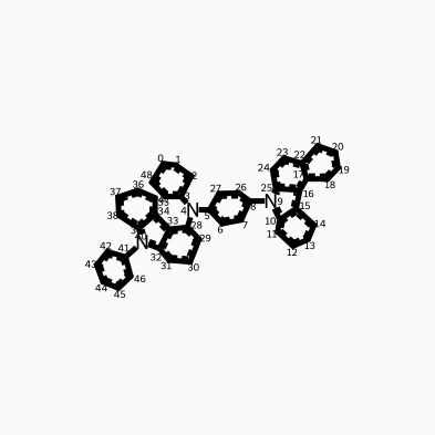 c1ccc(N(c2ccc(-n3c4ccccc4c4c5ccccc5ccc43)cc2)c2cccc3c2c2ccccc2n3-c2ccccc2)cc1